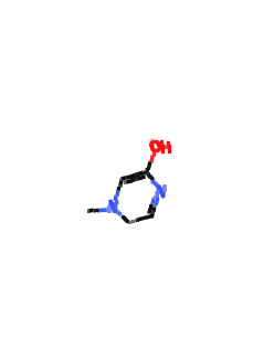 CN1C=C(O)N=CC1